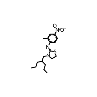 CCCC(CCC)CN1CCSC1=Nc1ccc([N+](=O)[O-])cc1C